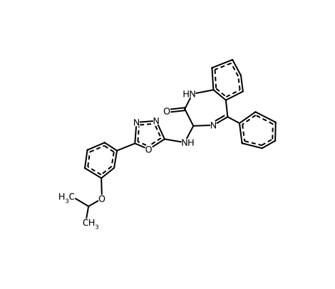 CC(C)Oc1cccc(-c2nnc(NC3N=C(c4ccccc4)c4ccccc4NC3=O)o2)c1